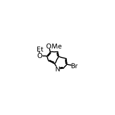 CCOc1cc2ncc(Br)cc2cc1OC